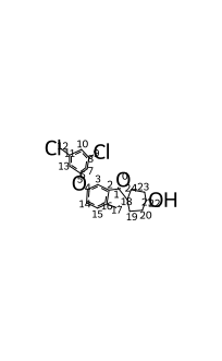 O=C1c2cc(Oc3cc(Cl)cc(Cl)c3)ccc2C[C@]12CC[C@@H](O)CC2